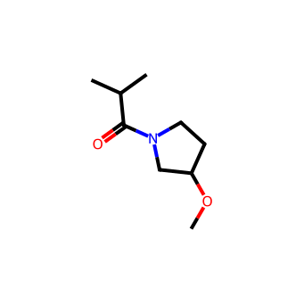 COC1CCN(C(=O)C(C)C)C1